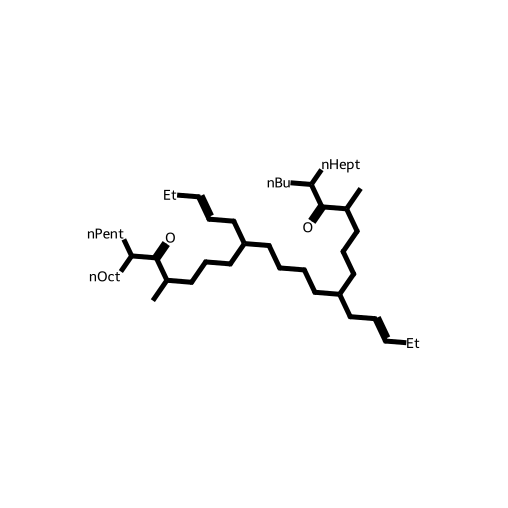 CCC=CCC(CCCCC(CC=CCC)CCCC(C)C(=O)C(CCCCC)CCCCCCCC)CCCC(C)C(=O)C(CCCC)CCCCCCC